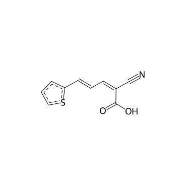 N#CC(=CC=Cc1cccs1)C(=O)O